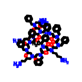 C[C@@H](c1ccccc1)N(CC(=O)N(CC(=O)N(CCCCN)CC(=O)N(CC(=O)N(CC(=O)N(CCCCN)CC(=O)N(CC(=O)N(CC(N)=O)Cc1ccccc1)Cc1ccccc1)Cc1ccccc1)Cc1ccccc1)Cc1ccccc1)C(=O)CN(CCCCN)C(=O)CN(Cc1ccccc1)C(=O)CN(Cc1ccccc1)C(=O)CNCCCCN